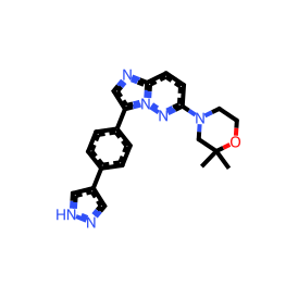 CC1(C)CN(c2ccc3ncc(-c4ccc(-c5cn[nH]c5)cc4)n3n2)CCO1